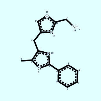 Cc1oc(-c2ccccc2)nc1Cc1coc(CN)n1